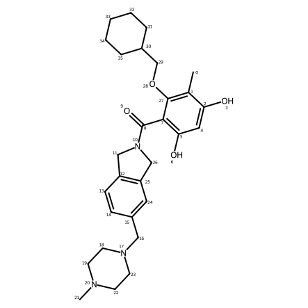 Cc1c(O)cc(O)c(C(=O)N2Cc3ccc(CN4CCN(C)CC4)cc3C2)c1OCC1CCCCC1